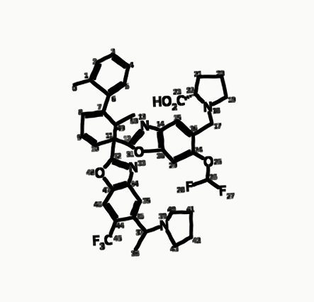 Cc1ccccc1C1=CC=CC(c2nc3cc(CN4CCC[C@H]4C(=O)O)c(OC(F)F)cc3o2)(c2nc3cc(C(C)N4CCCC4)c(C(F)(F)F)cc3o2)C1C